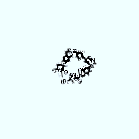 CC(C)(C)c1nc(C(=O)NCc2ccc(-c3ncnn4cc(-c5ccc(CN6CCc7ccc(OC8CCC(=O)NC8=O)cc7C6)cn5)cc34)cc2F)no1